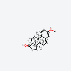 COC1=CC2=CC[C@@H]3[C@H](CC[C@]4(C)C(=O)CC[C@@H]34)[C@H]2C=C1